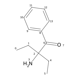 CCC(N)(CC)C(=O)c1ccccc1